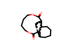 O=C1OCCCCOC(=O)c2c3ccc1c2CCCC3